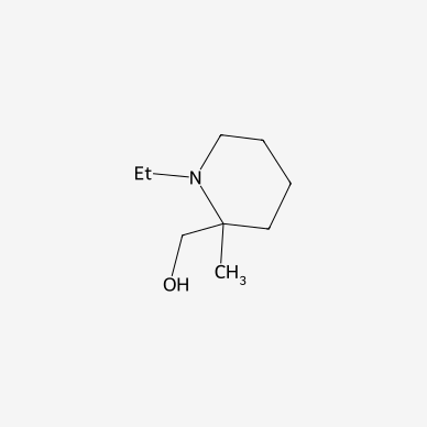 CCN1CCCCC1(C)CO